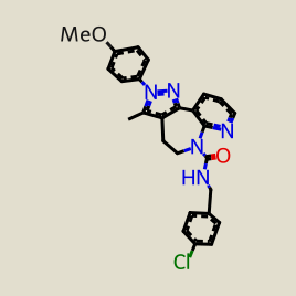 COc1ccc(-n2nc3c(c2C)CCN(C(=O)NCc2ccc(Cl)cc2)c2ncccc2-3)cc1